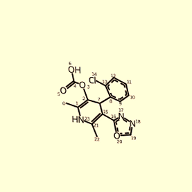 CC1=C(OC(=O)O)C(c2ccccc2Cl)C(c2nnco2)=C(C)N1